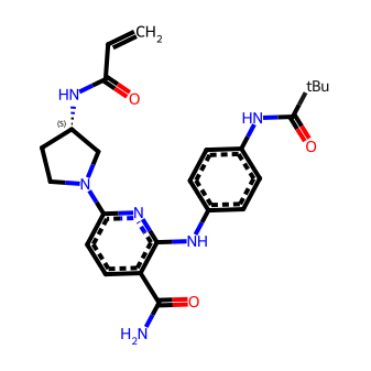 C=CC(=O)N[C@H]1CCN(c2ccc(C(N)=O)c(Nc3ccc(NC(=O)C(C)(C)C)cc3)n2)C1